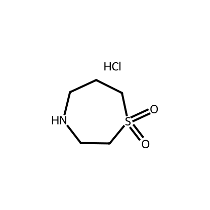 Cl.O=S1(=O)CCCNCC1